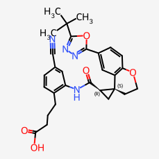 CC(C)(C)c1nnc(-c2ccc3c(c2)[C@]2(CCO3)C[C@H]2C(=O)Nc2cc(C#N)ccc2CCCC(=O)O)o1